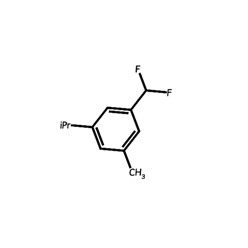 Cc1cc(C(C)C)cc(C(F)F)c1